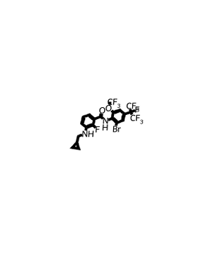 O=C(Nc1c(Br)cc(C(F)(C(F)(F)F)C(F)(F)F)cc1OC(F)(F)F)c1cccc(NCC2CC2)c1F